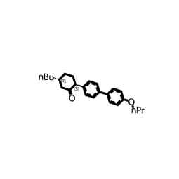 CCCC[C@@H]1CC[C@@H](c2ccc(-c3ccc(OCCC)cc3)cc2)C(=O)C1